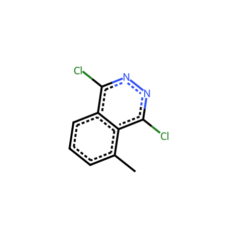 Cc1cccc2c(Cl)nnc(Cl)c12